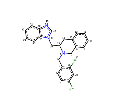 Fc1ccc(CN2Cc3ccccc3CC2Cn2cnc3ccccc32)c(F)c1